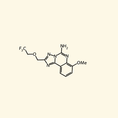 COc1cccc2c1nc(N)n1nc(COCC(F)(F)F)nc21